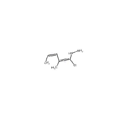 C/C=C\C(C)=C(\CC)NN